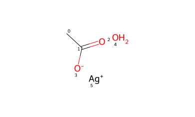 CC(=O)[O-].O.[Ag+]